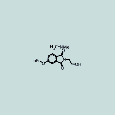 CCCOc1ccc2c(c1)C(=O)N(CCO)C2=O.CNC